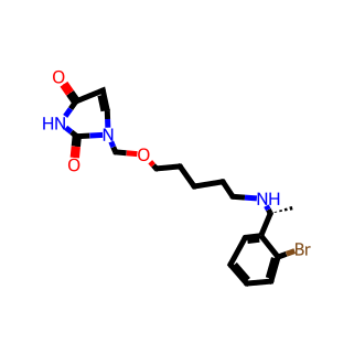 C[C@@H](NCCCCCOCn1ccc(=O)[nH]c1=O)c1ccccc1Br